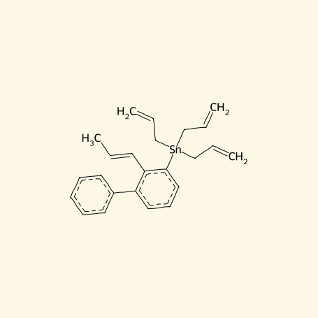 C=C[CH2][Sn]([CH2]C=C)([CH2]C=C)[c]1cccc(-c2ccccc2)c1C=CC